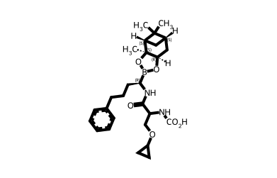 CC1(C)[C@@H]2C[C@H]3OB([C@H](CCCc4ccccc4)NC(=O)C(COC4CC4)NC(=O)O)O[C@@]3(C)[C@H]1C2